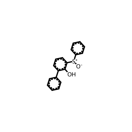 [O-][S+](c1ccccc1)c1cccc(-c2ccccc2)c1O